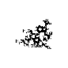 C=CC(=O)Nc1cc(N(C(=O)OC(C)(C)C)c2ncc(Cl)c(-c3cn(C4COC4)c4ccccc34)n2)c(OC)cc1N(C)CCN(C)C